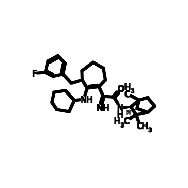 CC12CCC(C1)C(C)(C)[C@H]2NC(=O)C(=N)C1=C(NC2CCCCC2)C(Cc2cccc(F)c2)CCCC1